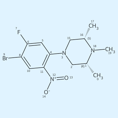 C[C@@H]1CN(c2cc(F)c(Br)cc2[N+](=O)[O-])C[C@H](C)N1C